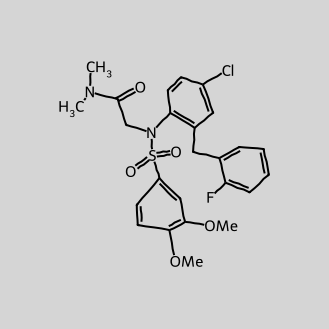 COc1ccc(S(=O)(=O)N(CC(=O)N(C)C)c2ccc(Cl)cc2Cc2ccccc2F)cc1OC